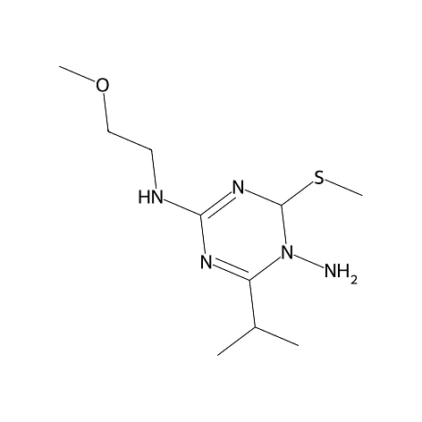 COCCNC1=NC(SC)N(N)C(C(C)C)=N1